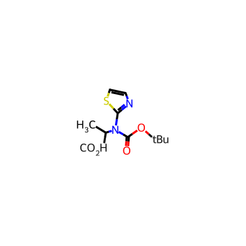 CC(C(=O)O)N(C(=O)OC(C)(C)C)c1nccs1